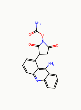 NC(=O)ON1C(=O)CC(c2cccc3nc4ccccc4c(N)c23)C1=O